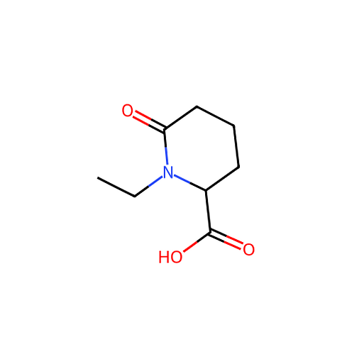 CCN1C(=O)CCCC1C(=O)O